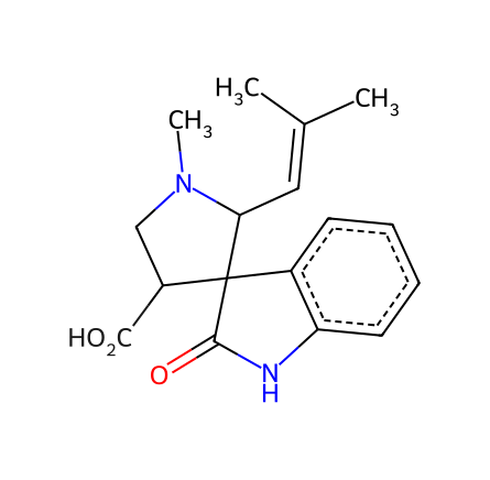 CC(C)=CC1N(C)CC(C(=O)O)C12C(=O)Nc1ccccc12